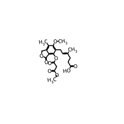 COC(=O)CC(=O)Oc1c(C/C=C(\C)CCC(=O)O)c(OC)c(C)c2c1C(=O)OC2